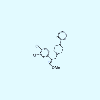 CO/N=C(\CN1CCN(c2ccccn2)CC1)c1ccc(Cl)c(Cl)c1